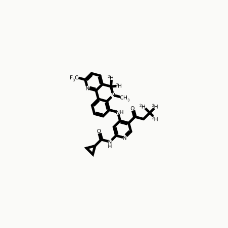 [2H]C([2H])([2H])CC(=O)c1cnc(NC(=O)C2CC2)cc1Nc1cccc2c1N(C)C([2H])([2H])c1ccc(C(F)(F)F)nc1-2